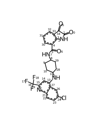 O=C1Nc2c(C(=O)NC3CCC(Nc4cc(C(F)(F)F)nc5ccc(Cl)cc45)CC3)cccc2C1=O